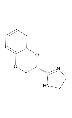 c1ccc2c(c1)OC[C@@H](C1=NCCN1)O2